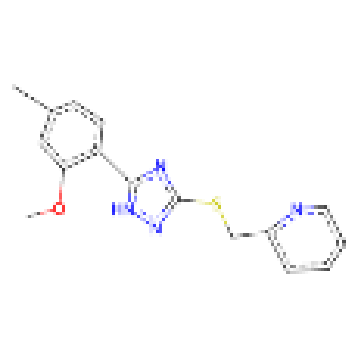 COc1cc(C)ccc1-c1nc(SCc2ccccn2)n[nH]1